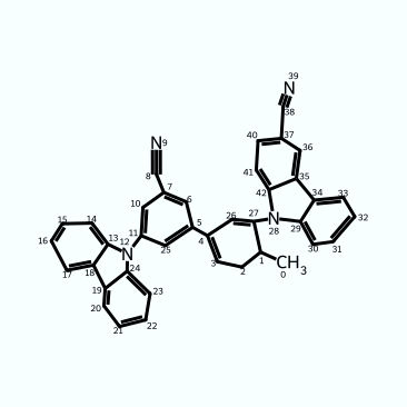 CC1CC=C(c2cc(C#N)cc(-n3c4ccccc4c4ccccc43)c2)C=C1n1c2ccccc2c2cc(C#N)ccc21